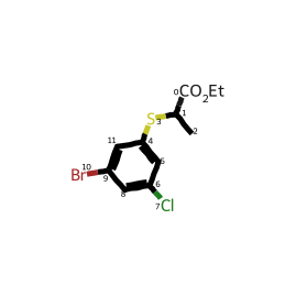 CCOC(=O)C(C)Sc1cc(Cl)cc(Br)c1